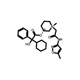 Cc1cc(NC(=O)C[N+]2(C)CCC[C@@H](OC(=O)C(O)(c3ccccc3)C3CCCCC3)C2)no1